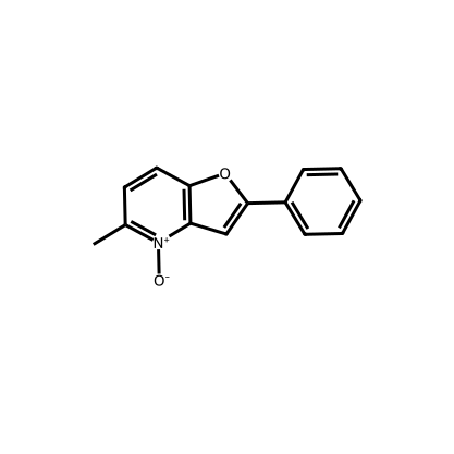 Cc1ccc2oc(-c3ccccc3)cc2[n+]1[O-]